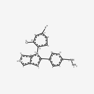 NNc1ccc(-c2nc3conc3n2-c2ccc(F)cc2Cl)cn1